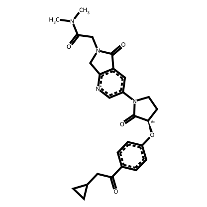 CN(C)C(=O)CN1Cc2ncc(N3CC[C@@H](Oc4ccc(C(=O)CC5CC5)cc4)C3=O)cc2C1=O